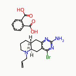 C=CCN1CCC[C@@H]2Cc3nc(N)nc(Br)c3C[C@H]21.O=C(O)c1ccccc1C(=O)O